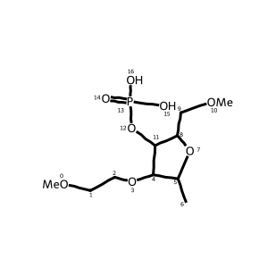 COCCOC1C(C)OC(COC)C1OP(=O)(O)O